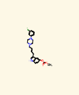 COC(=O)Oc1ccc2[nH]cc(CCCCN3CCN(c4cccc(F)c4)CC3)c2c1